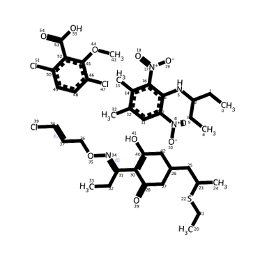 CCC(CC)Nc1c([N+](=O)[O-])cc(C)c(C)c1[N+](=O)[O-].CCSC(C)CC1CC(=O)C(/C(CC)=N/OC/C=C/Cl)=C(O)C1.COc1c(Cl)ccc(Cl)c1C(=O)O